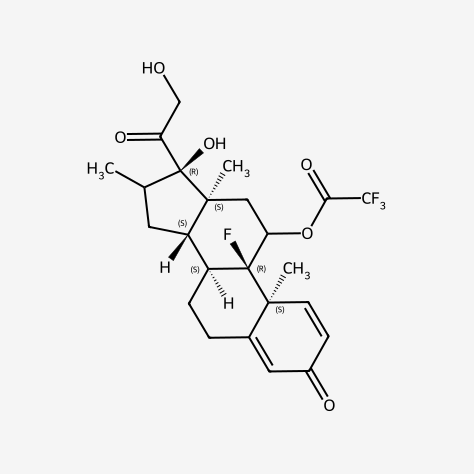 CC1C[C@H]2[C@@H]3CCC4=CC(=O)C=C[C@]4(C)[C@@]3(F)C(OC(=O)C(F)(F)F)C[C@]2(C)[C@@]1(O)C(=O)CO